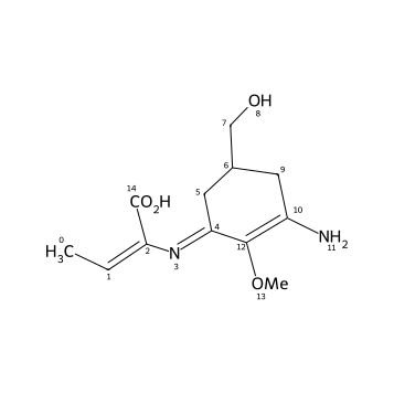 C/C=C(/N=C1\CC(CO)CC(N)=C1OC)C(=O)O